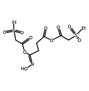 CCS(=O)(=O)CC(=O)OC(=O)CC/C(=N/O)OC(=O)CS(=O)(=O)CC